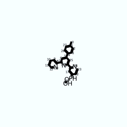 Cc1ccc(-c2cc(-c3ccccn3)nc(-c3cc(POO)ccn3)c2)cc1